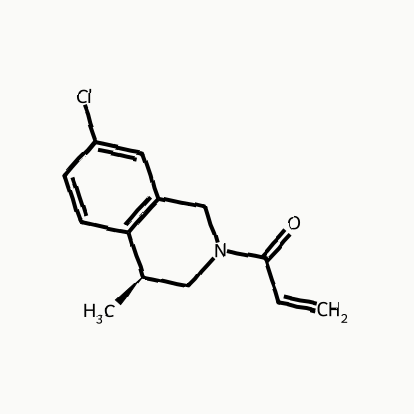 C=CC(=O)N1Cc2cc(Cl)ccc2[C@H](C)C1